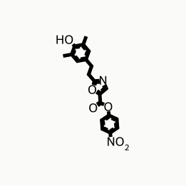 Cc1cc(CCc2ncc(C(=O)Oc3ccc([N+](=O)[O-])cc3)o2)cc(C)c1O